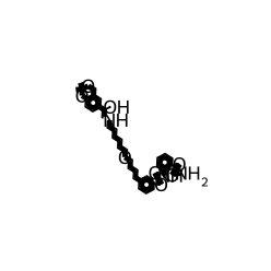 CC1(C)OCc2cc([C@@H](O)CNCCCCCCOCCCCc3cccc(S(=O)(=O)Nc4ccccc4S(N)(=O)=O)c3)ccc2O1